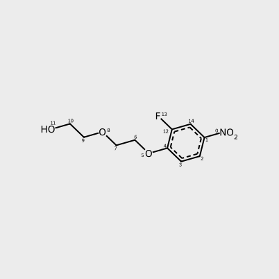 O=[N+]([O-])c1ccc(OCCOCCO)c(F)c1